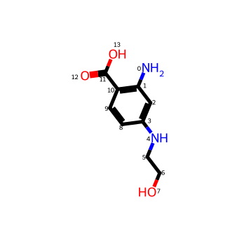 Nc1cc(NCCO)ccc1C(=O)O